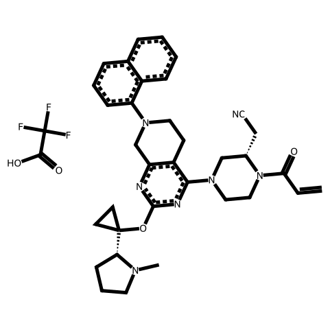 C=CC(=O)N1CCN(c2nc(OC3([C@H]4CCCN4C)CC3)nc3c2CCN(c2cccc4ccccc24)C3)C[C@@H]1CC#N.O=C(O)C(F)(F)F